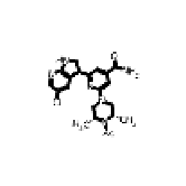 CC(=O)N1[C@H](C)CN(c2cc(C(N)=O)cc(C3CNc4ncc(Cl)cc43)n2)C[C@@H]1C